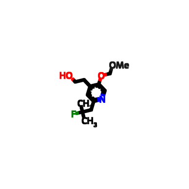 COCOc1cnc(CC(C)(C)F)cc1CCO